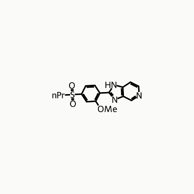 CCCS(=O)(=O)c1ccc(-c2nc3cnccc3[nH]2)c(OC)c1